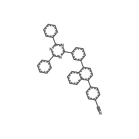 N#Cc1ccc(-c2ccc(-c3cccc(-c4nc(-c5ccccc5)nc(-c5ccccc5)n4)c3)c3ccccc23)cc1